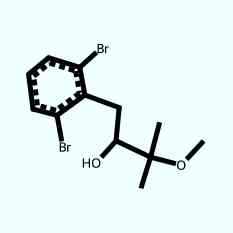 COC(C)(C)C(O)Cc1c(Br)cccc1Br